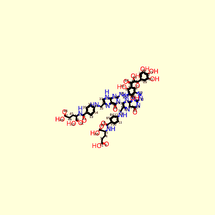 O=C(O)CCC(NC(=O)c1ccc(NCc2c[nH]c3nc(/N=N\c4c(O)c(/N=N/c5nc6[nH]cc(CNc7ccc(C(=O)NC(CCC(=O)O)C(=O)O)cc7)nc-6c(=O)n5)c(O)c5c(=O)c(O)c(-c6cc(O)c(O)c(O)c6)oc45)nc(=O)c-3n2)cc1)C(=O)O